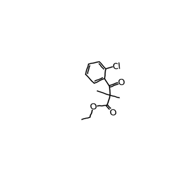 CCOC(=O)C(C)(C)C(=O)c1ccccc1Cl